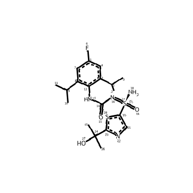 CC(C)c1cc(F)cc(C(C)C)c1NC(=O)N=[S@](N)(=O)c1cnc(C(C)(C)O)s1